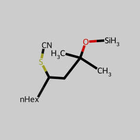 CCCCCCC(CC(C)(C)O[SiH3])SC#N